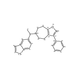 CC(c1ccc2scnc2c1)N1CCc2onc(-c3ccccc3)c2CC1